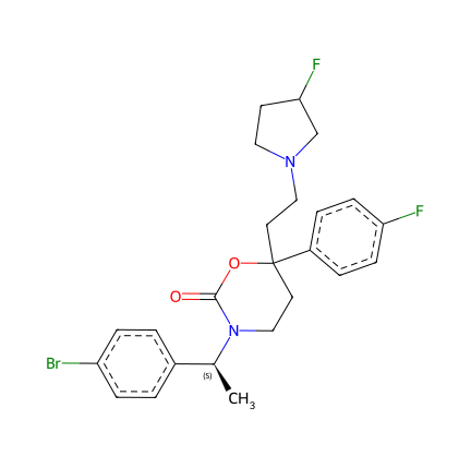 C[C@@H](c1ccc(Br)cc1)N1CCC(CCN2CCC(F)C2)(c2ccc(F)cc2)OC1=O